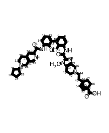 Cn1c(C(=O)Nc2cccc(-c3cccc(NC(=O)c4cc5c(cn4)CN(C4CCCC4)CC5)c3Cl)c2Cl)nc2c1CCN(CCC13CCC(C(=O)O)(CC1)C3)C2